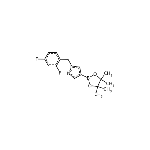 CC1(C)OB(c2cnn(Cc3ccc(F)cc3F)c2)OC1(C)C